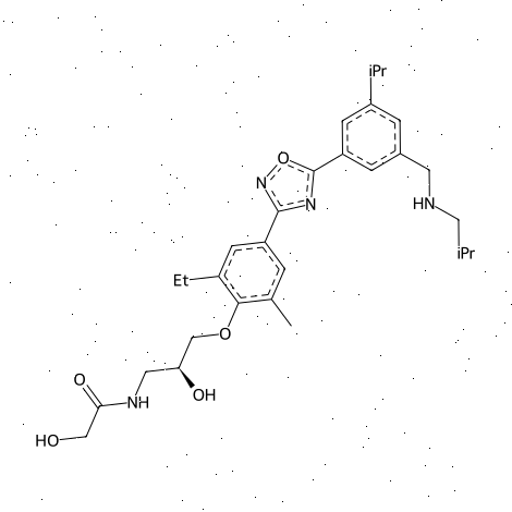 CCc1cc(-c2noc(-c3cc(CNCC(C)C)cc(C(C)C)c3)n2)cc(C)c1OC[C@@H](O)CNC(=O)CO